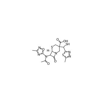 CC(=O)N(c1nc(C)no1)C1C(=O)N2CC(C(=O)O)(C(S)c3nnc(C)s3)CS[C@H]12